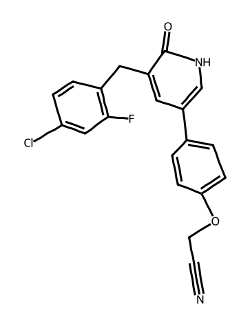 N#CCOc1ccc(-c2c[nH]c(=O)c(Cc3ccc(Cl)cc3F)c2)cc1